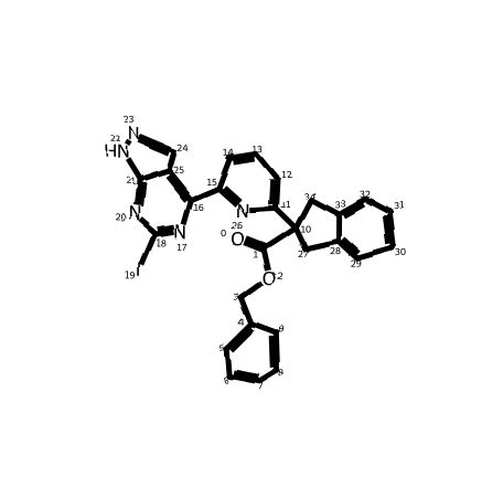 O=C(OCc1ccccc1)C1(c2cccc(-c3nc(I)nc4[nH]ncc34)n2)Cc2ccccc2C1